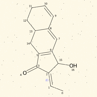 C/C=C1/C(=O)C2=C(C=C3C=CCCC3C2)C1O